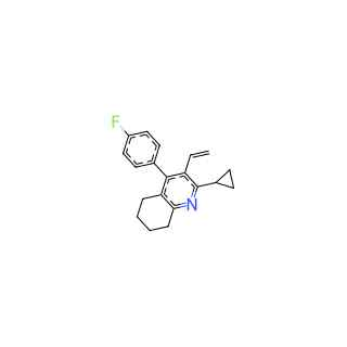 C=Cc1c(C2CC2)nc2c(c1-c1ccc(F)cc1)CCCC2